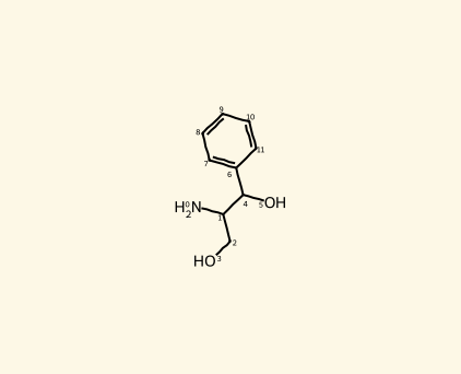 NC(CO)C(O)c1ccccc1